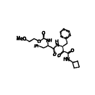 COCCOC(=O)NC(CC(C)C)C(=O)NC(Cc1ccccc1)C(=O)C(=O)NC1CCC1